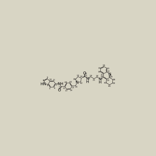 O=C(Nc1ccc2[nH]ccc2c1)c1ccc(CN2CC[C@@H](C(=O)NCCCNc3c4c(nc5ccccc35)CCCC4)C2)cc1